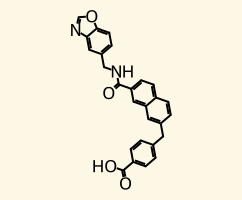 O=C(O)c1ccc(Cc2ccc3ccc(C(=O)NCc4ccc5ocnc5c4)cc3c2)cc1